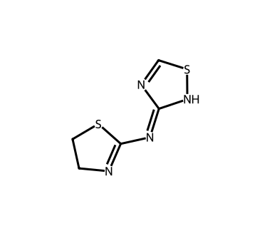 c1nc(=NC2=NCCS2)[nH]s1